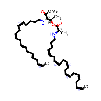 CC/C=C\CC=CCC=CC/C=C\C/C=C\CCCCN[C@H](C(=O)OC)[C@@H](C)OC(=O)[C@H](C)NCCC/C=C\C/C=C\C/C=C\C/C=C\C/C=C\C/C=C\CC